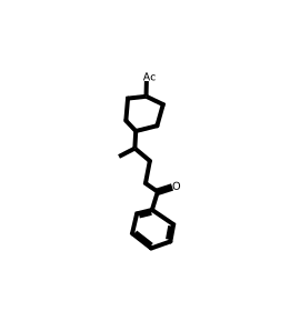 CC(=O)C1CCC(C(C)CCC(=O)c2ccccc2)CC1